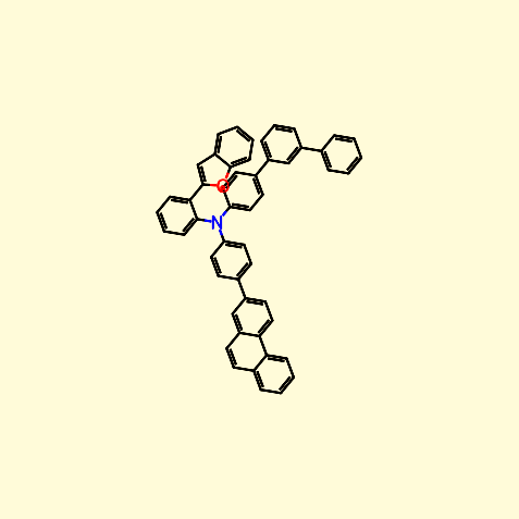 c1ccc(-c2cccc(-c3ccc(N(c4ccc(-c5ccc6c(ccc7ccccc76)c5)cc4)c4ccccc4-c4cc5ccccc5o4)cc3)c2)cc1